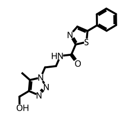 Cc1c(CO)nnn1CCNC(=O)c1ncc(-c2ccccc2)s1